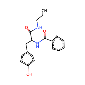 N#CCCNC(=O)C(Cc1ccc(O)cc1)NC(=O)c1ccccc1